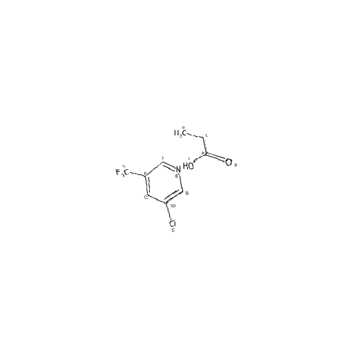 CCC(=O)O.FC(F)(F)c1cncc(Cl)c1